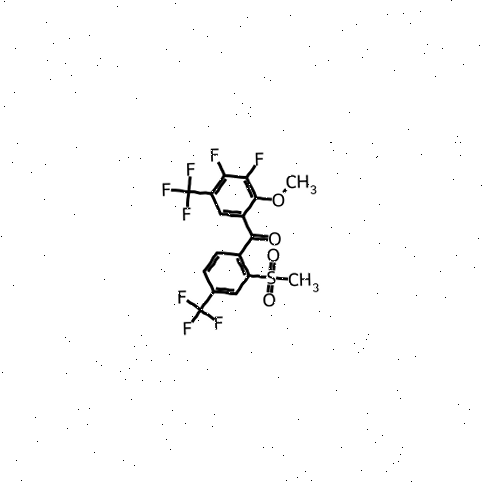 COc1c(C(=O)c2ccc(C(F)(F)F)cc2S(C)(=O)=O)cc(C(F)(F)F)c(F)c1F